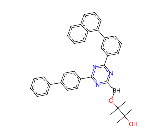 CC(C)(O)C(C)(C)OBc1nc(-c2ccc(-c3ccccc3)cc2)nc(-c2cccc(-c3cccc4ccccc34)c2)n1